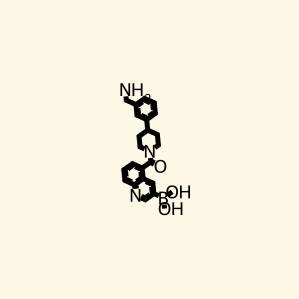 NCc1cccc(C2CCN(C(=O)c3cccc4ncc(B(O)O)cc34)CC2)c1